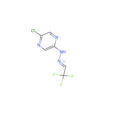 FC(F)(F)/C=N/Nc1cnc(Cl)cn1